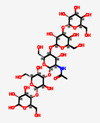 CC(=O)N[C@H]1[C@H](O[C@H]2[C@@H](O)[C@@H](CO)O[C@@H](O[C@H]3[C@H](O)[C@@H](O)C(O)O[C@@H]3CO)[C@@H]2O)O[C@H](CO)[C@@H](O[C@@H]2O[C@H](CO)[C@H](O)[C@H](O[C@H]3O[C@H](CO)[C@H](O)[C@H](O)[C@H]3O)[C@H]2O)[C@@H]1O